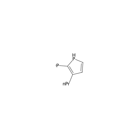 CCCc1cc[pH]c1[P]